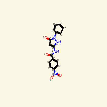 O=C(Nc1cc(=O)n(-c2ccccc2)[nH]1)c1ccc([N+](=O)[O-])cc1